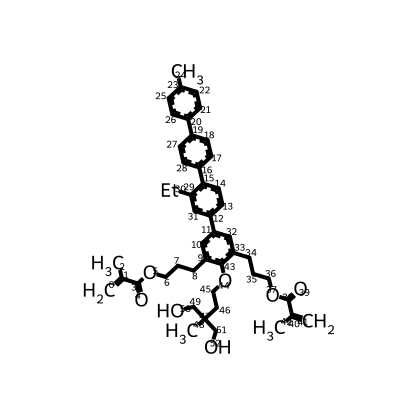 C=C(C)C(=O)OCCCc1cc(-c2ccc(-c3ccc(-c4ccc(C)cc4)cc3)c(CC)c2)cc(CCCOC(=O)C(=C)C)c1OCCC(C)(CO)CO